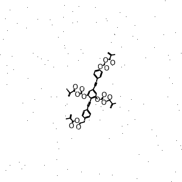 C=C(C)C(=O)OC(=O)Cc1ccc(C#Cc2c(OC(=O)OC(=O)C(=C)C)cc(C#Cc3ccc(OC(=O)OC(=O)C(=C)C)cc3)cc2OC(=O)OC(=O)C(=C)C)cc1